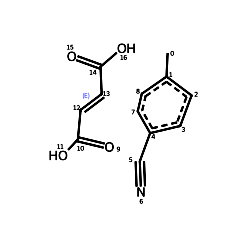 Cc1ccc(C#N)cc1.O=C(O)/C=C/C(=O)O